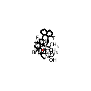 CC(C)[Si](C#Cc1c(F)ccc2cccc(-c3ncc4c(N5C[C@@H]6[C@H]5CCN6C(=O)O)c(Br)cnc4c3F)c12)(C(C)C)C(C)C